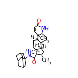 CC1C[C@H]2[C@@H]3CCC4NC(=O)C=C[C@]4(C)[C@@H]3CC[C@]2(C)C1C(=O)NC12CC3CC(CC(C3)C1)C2